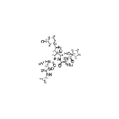 CCC[C@H](NC(=O)[C@@H]1C[C@]2(CC(c3cccc(Cl)c3)=NO2)CN1C(=O)[C@@H](NC(=O)C1(O)CCCC1)C(C)(C)C)C(=O)C(=O)NC1CC1